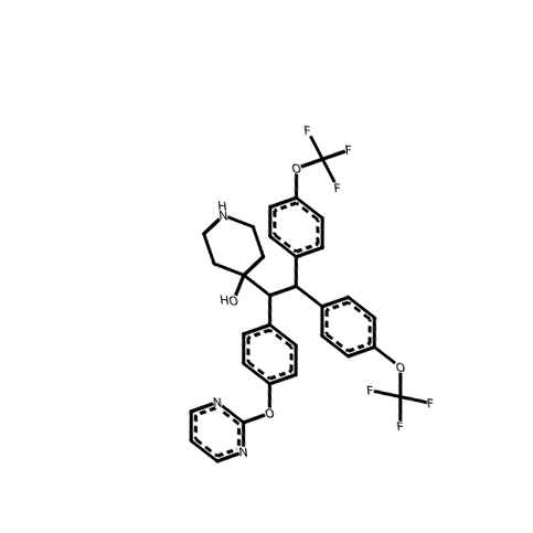 OC1(C(c2ccc(Oc3ncccn3)cc2)C(c2ccc(OC(F)(F)F)cc2)c2ccc(OC(F)(F)F)cc2)CCNCC1